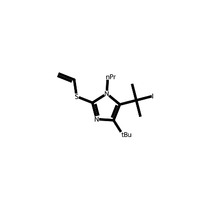 C=CSc1nc(C(C)(C)C)c(C(C)(C)I)n1CCC